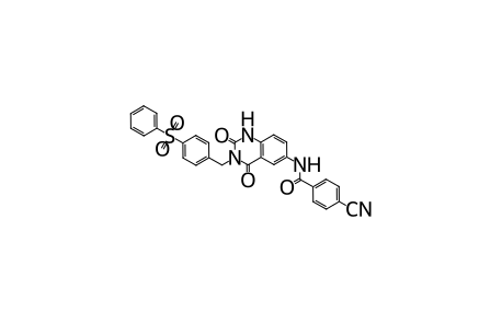 N#Cc1ccc(C(=O)Nc2ccc3[nH]c(=O)n(Cc4ccc(S(=O)(=O)c5ccccc5)cc4)c(=O)c3c2)cc1